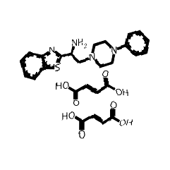 NC(CN1CCN(c2ccccc2)CC1)c1nc2ccccc2s1.O=C(O)/C=C/C(=O)O.O=C(O)/C=C/C(=O)O